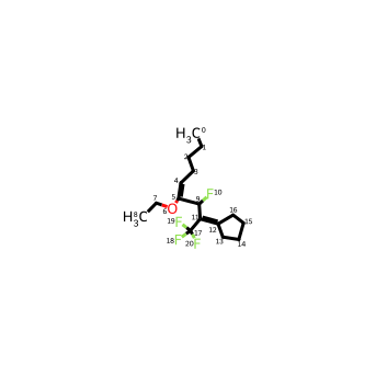 CCCC/C=C(/OCC)C(F)C(=C1CCCC1)C(F)(F)F